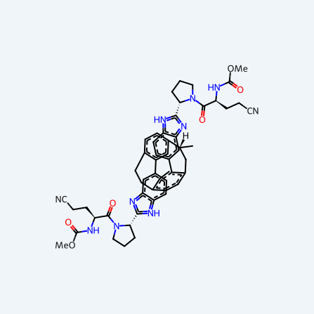 COC(=O)N[C@@H](CCC#N)C(=O)N1CCC[C@H]1c1nc2cc(-c3cc4ccc3CCc3ccc(c(-c5ccc6[nH]c([C@@H]7CCCN7C(=O)[C@H](CCC#N)NC(=O)OC)nc6c5)c3)C[C@H]4C)ccc2[nH]1